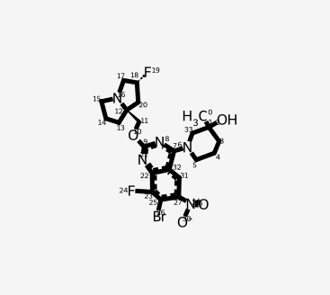 CC1(O)CCCN(c2nc(OC[C@@]34CCCN3C[C@H](F)C4)nc3c(F)c(Br)c([N+](=O)[O-])cc23)C1